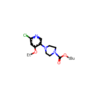 CCOc1cc(Cl)ncc1N1CCN(C(=O)OC(C)(C)C)CC1